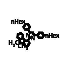 CCCCCCc1ccc(-c2cc(-c3ccc(CCCCCC)cc3)nc(-c3cccc4c3-c3ccccc3C4(C)C)n2)cc1